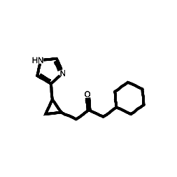 O=C(CC1CCCCC1)CC1CC1c1c[nH]cn1